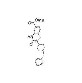 COC(=O)c1ccc2c(c1)NC(=O)N(C1CCN(Cc3ccccc3)CC1)C2